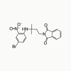 CC(C)(CCN1C(=O)c2ccccc2C1=O)Nc1ccc(Br)cc1[N+](=O)[O-]